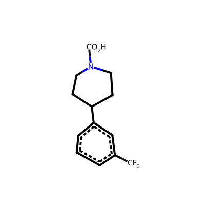 O=C(O)N1CCC(c2cccc(C(F)(F)F)c2)CC1